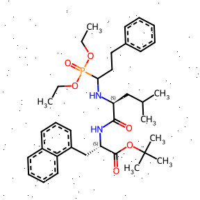 CCOP(=O)(OCC)C(CCc1ccccc1)N[C@@H](CC(C)C)C(=O)N[C@@H](Cc1cccc2ccccc12)C(=O)OC(C)(C)C